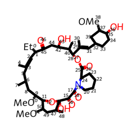 CCC1C=C(C)CC(C)CC(OC)C2OC(O)(C(=O)C(=O)N3CCCCC3C(=O)OC(C(C)=CC3CCC(O)C(OC)C3)C(C)C(O)CC1=O)C(C)CC2OC